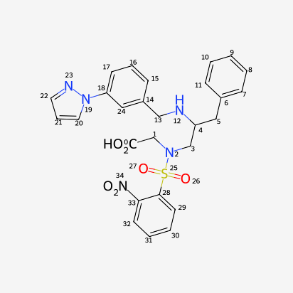 O=C(O)CN(CC(Cc1ccccc1)NCc1cccc(-n2cccn2)c1)S(=O)(=O)c1ccccc1[N+](=O)[O-]